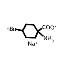 CCCCC1CCC(N)(C(=O)[O-])CC1.[Na+]